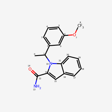 CC(c1cccc(OC(F)(F)F)c1)n1c(C(N)=O)cc2ccccc21